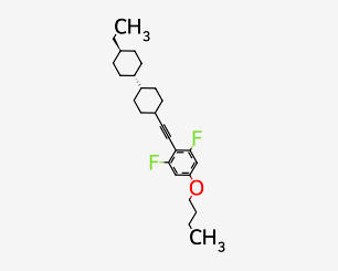 CCCCOc1cc(F)c(C#CC2CCC([C@H]3CC[C@H](CC)CC3)CC2)c(F)c1